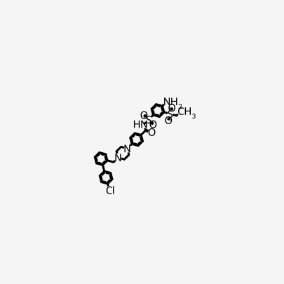 CCS(=O)(=O)c1cc(S(=O)(=O)NC(=O)c2ccc(N3CCN(Cc4ccccc4-c4ccc(Cl)cc4)CC3)cc2)ccc1N